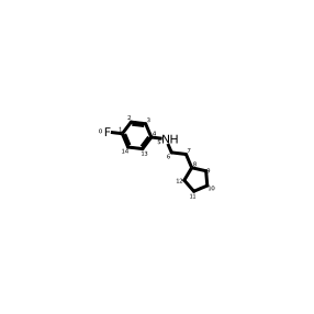 Fc1ccc(NCCC2CCCC2)cc1